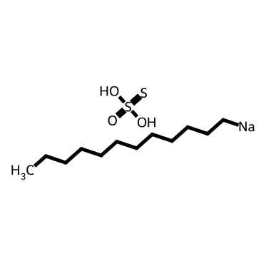 CCCCCCCCCCC[CH2][Na].O=S(O)(O)=S